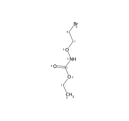 CCOC(=O)NOCCBr